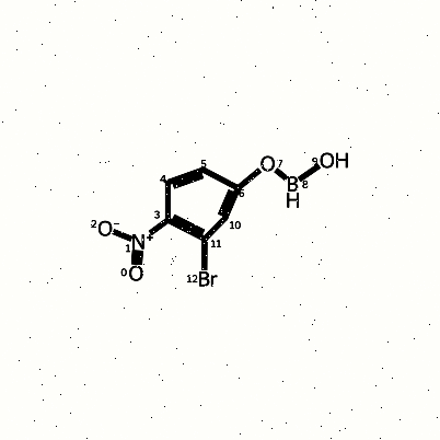 O=[N+]([O-])c1ccc(OBO)cc1Br